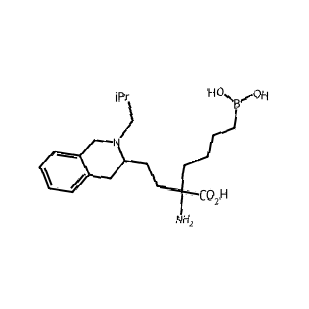 CC(C)CN1Cc2ccccc2CC1CCC(N)(CCCCB(O)O)C(=O)O